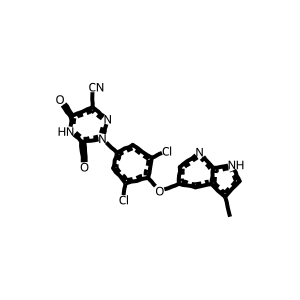 Cc1c[nH]c2ncc(Oc3c(Cl)cc(-n4nc(C#N)c(=O)[nH]c4=O)cc3Cl)cc12